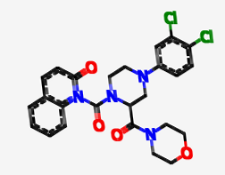 O=C(C1CN(c2ccc(Cl)c(Cl)c2)CCN1C(=O)n1c(=O)ccc2ccccc21)N1CCOCC1